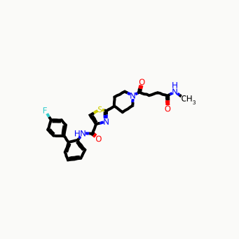 CNC(=O)CCC(=O)N1CCC(c2nc(C(=O)Nc3ccccc3-c3ccc(F)cc3)cs2)CC1